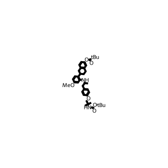 COc1ccc(C2CCc3cc(OC(=O)C(C)(C)C)ccc3C2)c(NC(C)Cc2ccc(OCC(C)(C)NC(=O)OC(C)(C)C)cc2)c1